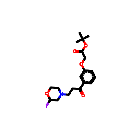 CC(C)(C)OC(=O)COc1cccc(C(=O)CCN2CCOC(I)C2)c1